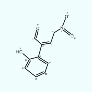 O=CC(=CC[N+](=O)[O-])c1ccccc1O